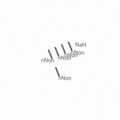 CCCCCCCCCC.CCCCCCCCCC.CCCCCCCCCC.CCCCCCCCCC.CCCCCCCCCC.[NaH]